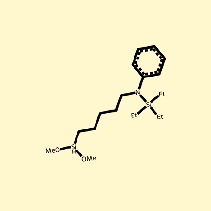 CC[Si](CC)(CC)N(CCCCC[SiH](OC)OC)c1ccccc1